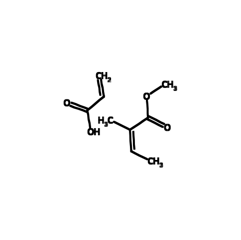 C=CC(=O)O.CC=C(C)C(=O)OC